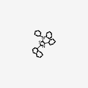 c1ccc(-c2nc(-c3cccc4ccccc34)sc2N(c2ccccc2)c2ccccc2)cc1